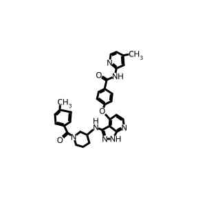 Cc1ccc(C(=O)N2CCCC(Nc3n[nH]c4nccc(Oc5ccc(C(=O)Nc6cc(C)ccn6)cc5)c34)C2)cc1